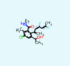 C=C(/C=C(F)\C=C(/C)F)c1c(C(C)O)cc(Cl)c(C)c1C(=O)NCC